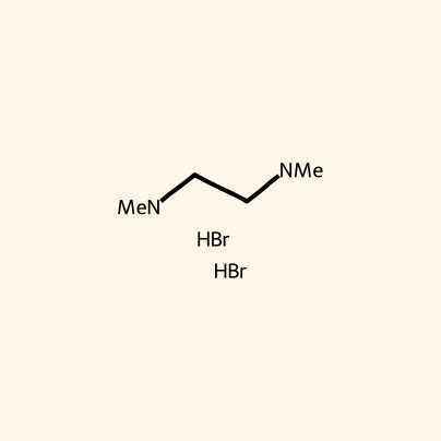 Br.Br.CNCCNC